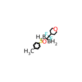 BC(B)(OSc1ccc(C)cc1)C(F)(F)C1CCOCC1